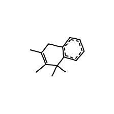 CC1=C(C)C(C)(C)c2ccccc2C1